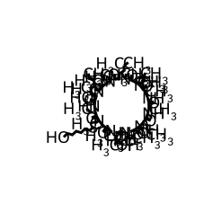 C/C=C/C[C@@H](C)[C@@H](O)[C@H]1C(=O)N[C@H](CC)C(=O)N(C)[C@H](CSCCCCCCO)C(=O)N(C)[C@@H](CC(C)(C)O)C(=O)N[C@H](C(C)C)C(=O)N(C)[C@H](CC(C)C)C(=O)N[C@H](C)C(=O)N[C@@H](C)C(=O)N(C)[C@H](CC(C)C)C(=O)N(C)[C@H](CCC(C)C)C(=O)N(C)[C@H](C(C)C)C(=O)N1C